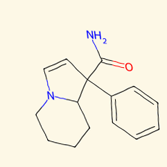 NC(=O)C1(c2ccccc2)C=CN2CCCCC21